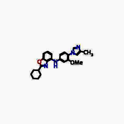 COc1cc(Nc2cccc3oc(C4CCCCC4)nc23)ccc1-n1cnc(C)c1